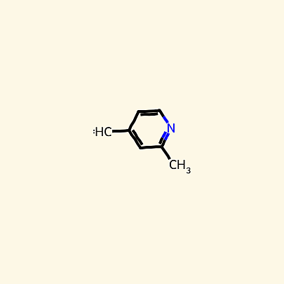 [CH]c1ccnc(C)c1